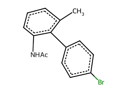 CC(=O)Nc1cccc(C)c1-c1ccc(Br)cc1